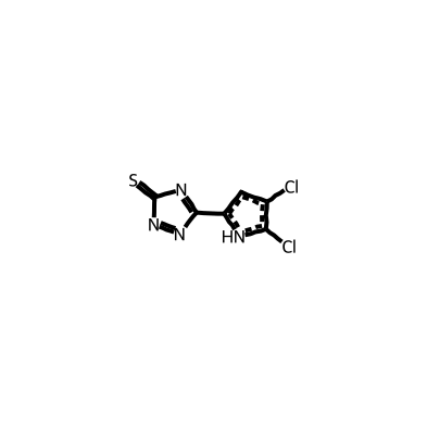 S=C1N=NC(c2cc(Cl)c(Cl)[nH]2)=N1